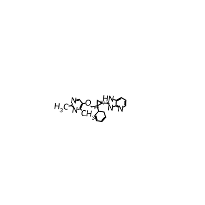 Cc1ncc(OC[C@@]2(C3C=CC=CC3)C[C@H]2c2nc3ncccc3[nH]2)c(C)n1